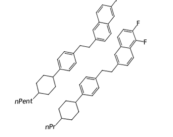 CCCC1CCC(c2ccc(CCc3ccc4c(F)c(F)ccc4c3)cc2)CC1.CCCCCC1CCC(c2ccc(CCc3ccc4cc(F)ccc4c3)cc2)CC1